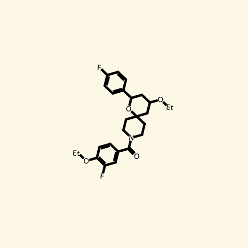 CCOc1ccc(C(=O)N2CCC3(CC2)CC(OCC)CC(c2ccc(F)cc2)O3)cc1F